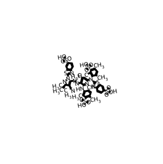 Cc1cc(N(c2nc3ccc(S(=O)(=O)O)cc3s2)c2c(C)cc(C)c(S(=O)(=O)O)c2C)nc(Nc2c(C)cc(C)c(S(=O)(=O)O)c2C)c1N=Nc1c(C#N)c(C(C)(C)C)nn1-c1nc2ccc(S(=O)(=O)O)cc2s1